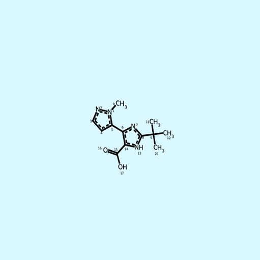 Cn1nccc1-c1nc(C(C)(C)C)[nH]c1C(=O)O